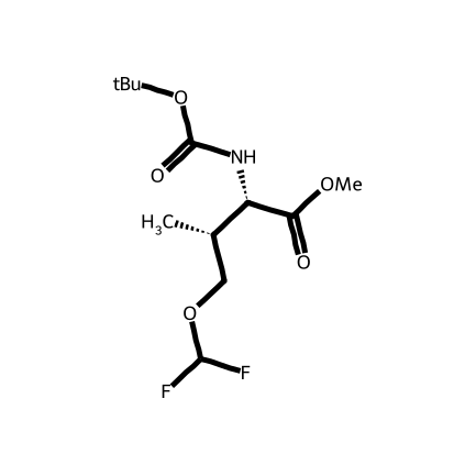 COC(=O)[C@@H](NC(=O)OC(C)(C)C)[C@@H](C)COC(F)F